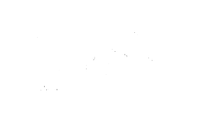 CCOC(=O)NC(=O)/C(C#N)=N/Nc1cc(Cl)c(Oc2cc(C3CCCC3)c(Cl)nn2)c(Cl)c1